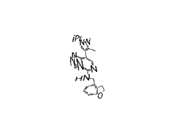 Cc1nn(C(C)C)cc1-c1cnc(NCc2cccc3c2CCO3)n2cnnc12